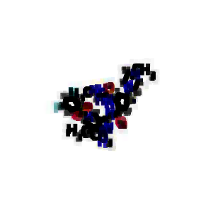 CNCC(=O)Nc1cc(N2CCN(C)CC2)ccc1C(=O)Nc1n[nH]c2c1CN(S(=O)(=O)c1cc(F)cc(F)c1)CC2(C)C